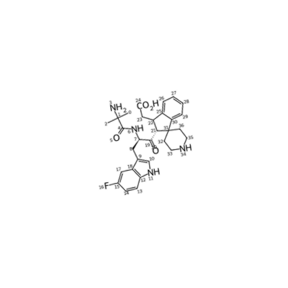 CC(C)(N)C(=O)N[C@H](Cc1c[nH]c2ccc(F)cc12)C(=O)[C@@H]1C(CC(=O)O)c2ccccc2C12CCNCC2